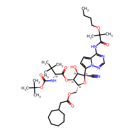 CCCCOC(C)(C)C(=O)Nc1ncnn2c([C@]3(C#N)O[C@H](COC(=O)CC4CCCCCC4)[C@@H](OC(=O)[C@H](NC(=O)OC(C)(C)C)C(C)(C)C)[C@H]3O)ccc12